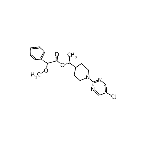 COC(C(=O)OC(C)C1CCN(c2ncc(Cl)cn2)CC1)c1ccccc1